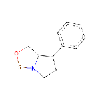 c1ccc(C2CCN3SOCC23)cc1